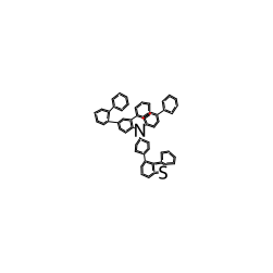 c1ccc(-c2ccc(N(c3ccc(-c4cccc5sc6ccccc6c45)cc3)c3ccc(-c4ccccc4-c4ccccc4)cc3-c3ccccc3)cc2)cc1